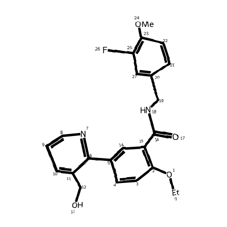 CCOc1ccc(-c2ncccc2CO)cc1C(=O)NCc1ccc(OC)c(F)c1